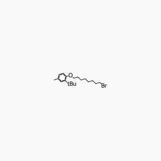 Cc1ccc(OCCCCCCCCBr)c(C(C)(C)C)c1